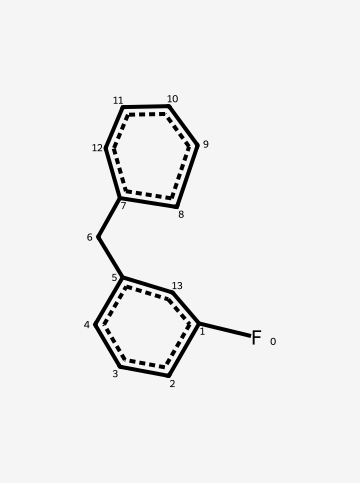 Fc1cccc(Cc2ccccc2)c1